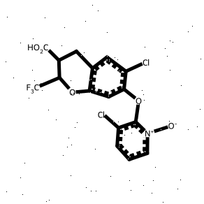 O=C(O)C1Cc2cc(Cl)c(Oc3c(Cl)ccc[n+]3[O-])cc2OC1C(F)(F)F